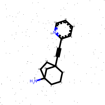 NC12CCCC(C#Cc3ccccn3)(CC1)C2